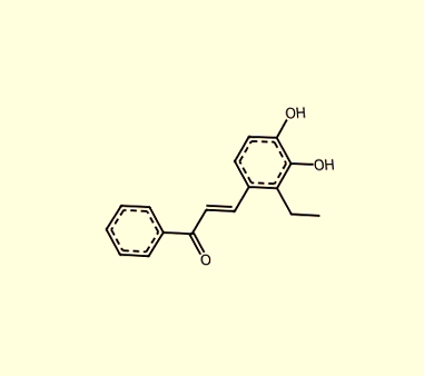 CCc1c(C=CC(=O)c2ccccc2)ccc(O)c1O